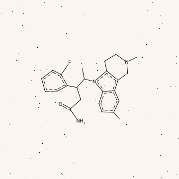 Cc1ccc2c(c1)c1c(n2C(C)C(CC(N)=O)c2ccccc2F)CCN(C)C1